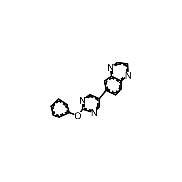 c1ccc(Oc2ncc(-c3ccc4nccnc4c3)cn2)cc1